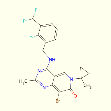 Cc1nc(NCc2cccc(C(F)F)c2F)c2cn(C3(C)CC3)c(=O)c(Br)c2n1